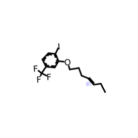 CC/C=C/CCCOc1cc(C(F)(F)F)ccc1I